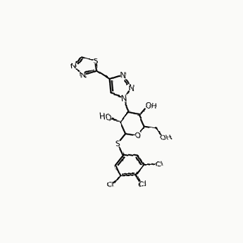 OCC1OC(Sc2cc(Cl)c(Cl)c(Cl)c2)[C@@H](O)C(n2cc(-c3nncs3)nn2)C1O